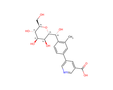 Cc1cc(-c2cncc(C(=O)O)c2)ccc1[C@@H](O)[C@H]1O[C@H](CO)[C@@H](O)[C@H](O)[C@@H]1O